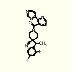 CC(c1ccc(F)cc1F)C1(C#N)CCN(C(=O)c2cccnc2-c2ccncn2)CC1